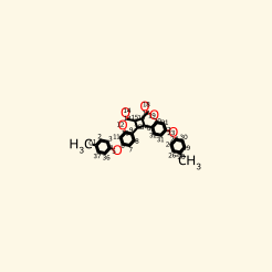 Cc1ccc(Oc2ccc3c(c2)OC(=O)C2C4C(=O)Oc5cc(Oc6ccc(C)cc6)ccc5C4C32)cc1